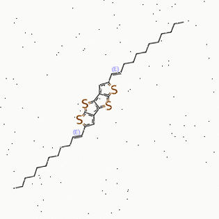 CCCCCCCCCC/C=C/c1cc2c(s1)sc1c3cc(/C=C/CCCCCCCCCC)sc3sc21